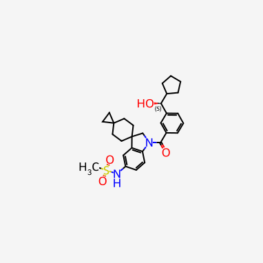 CS(=O)(=O)Nc1ccc2c(c1)C1(CCC3(CC3)CC1)CN2C(=O)c1cccc([C@@H](O)C2CCCC2)c1